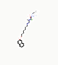 CC(/C=C/CCCCCCCOc1ccc2ccccc2c1)=C(/F)C(=O)NCC(C)C